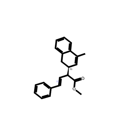 COC(=O)C(/C=C/c1ccccc1)[C@@H]1C=C(C)c2ccccc2C1